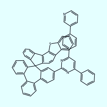 c1ccc(-c2cc(-c3ccc(-c4cccnc4)cc3)nc(-c3ccc4c(c3)C3(c5ccccc5-c5ccccc5-4)c4ccccc4-c4c3ccc3c4sc4ccccc43)n2)cc1